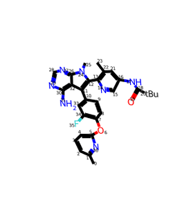 Cc1cccc(Oc2ccc(-c3c(-c4ncc(NC(=O)C(C)(C)C)cc4C)n(C)c4ncnc(N)c34)cc2F)n1